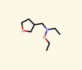 CCON(CC)CC1CCOC1